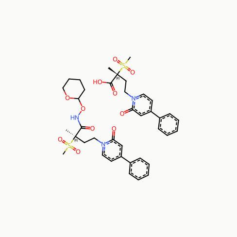 C[C@@](CCn1ccc(-c2ccccc2)cc1=O)(C(=O)NOC1CCCCO1)S(C)(=O)=O.C[C@@](CCn1ccc(-c2ccccc2)cc1=O)(C(=O)O)S(C)(=O)=O